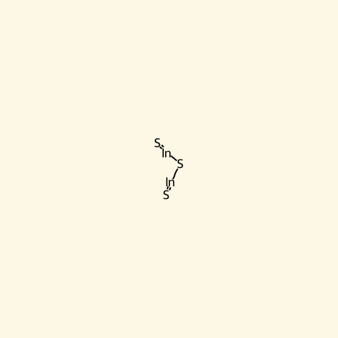 [S]=[In][S][In]=[S]